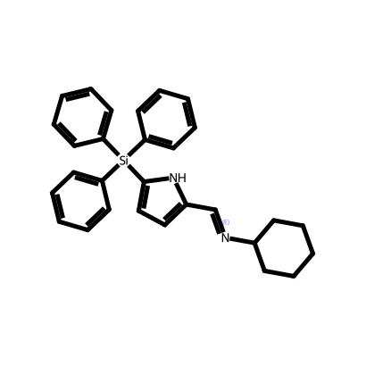 C(=N\C1CCCCC1)/c1ccc([Si](c2ccccc2)(c2ccccc2)c2ccccc2)[nH]1